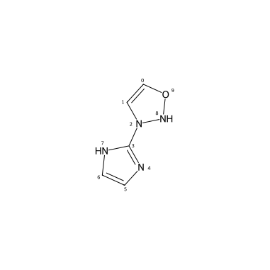 C1=CN(c2ncc[nH]2)NO1